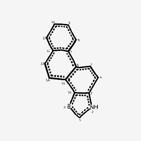 b1c[nH]c2ccc3c4ccccc4ccc3c12